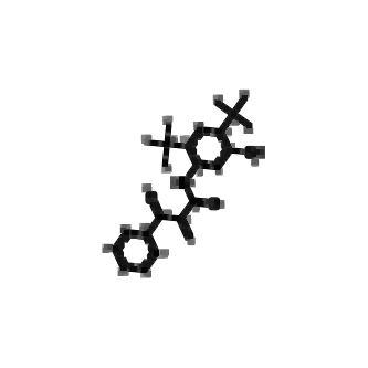 C=C(C(=O)Nc1cc(O)c(C(C)(C)C)cc1C(C)(C)C)C(=O)c1ccccc1